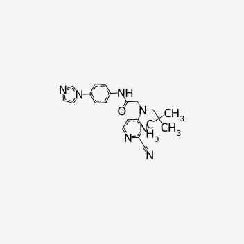 CC(C)(C)CN(CC(=O)Nc1ccc(-n2ccnc2)cc1)c1ccnc(C#N)n1